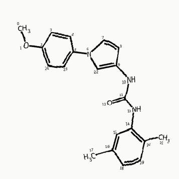 COc1ccc(-n2ccc(NC(=O)Nc3cc(C)ccc3C)c2)cc1